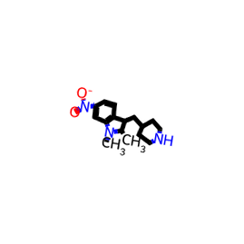 CC1C(CC2CCNCC2)c2ccc([N+](=O)[O-])cc2N1C